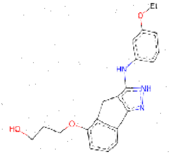 CCOc1cccc(Nc2[nH]nc3c2Cc2c(OCCCO)cccc2-3)c1